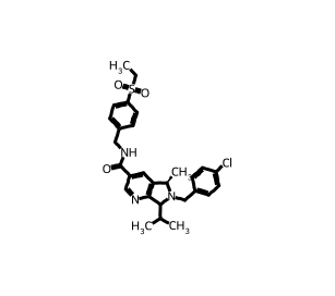 CCS(=O)(=O)c1ccc(CNC(=O)c2cnc3c(c2)[C@@H](C)N(Cc2ccc(Cl)cc2)C3C(C)C)cc1